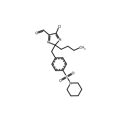 CCCCC1(Cc2ccc(S(=O)(=O)N3CCCCC3)cc2)N=C(Cl)C(C=O)=N1